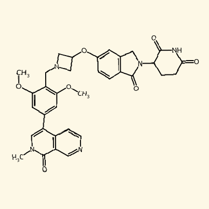 COc1cc(-c2cn(C)c(=O)c3cnccc23)cc(OC)c1CN1CC(Oc2ccc3c(c2)CN(C2CCC(=O)NC2=O)C3=O)C1